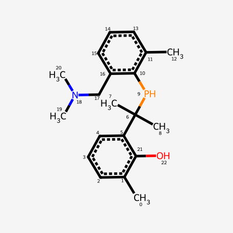 Cc1cccc(C(C)(C)Pc2c(C)cccc2CN(C)C)c1O